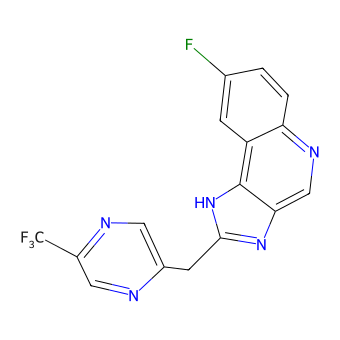 Fc1ccc2ncc3nc(Cc4cnc(C(F)(F)F)cn4)[nH]c3c2c1